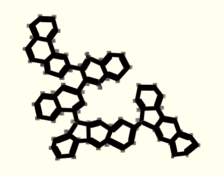 c1ccc2cc3c(cc2c1)c1ccccc1n3-c1ccc2cc3c4ccccc4n(-c4cc(-c5nc6ccccc6nc5-c5ccc6ccc7ccccc7c6c5)cc5ccccc45)c3cc2c1